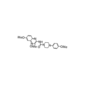 COc1ccc(N2CCN(C(=O)Nc3nc4ccc(OC)cc4nc3OC)CC2)cc1